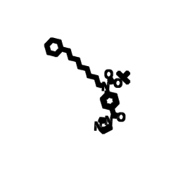 CC(C)(C)OC(=O)N(CCCCCCCCC1CCCCC1)c1ccc(C(=O)n2ccnc2)cc1